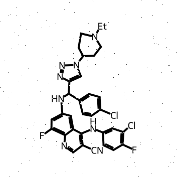 CCN1CCC(n2cc(C(Nc3cc(F)c4ncc(C#N)c(Nc5ccc(F)c(Cl)c5)c4c3)c3ccc(Cl)cc3)nn2)CC1